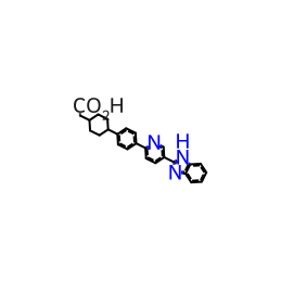 O=C(O)CC1CCC(c2ccc(-c3ccc(-c4nc5ccccc5[nH]4)cn3)cc2)CC1